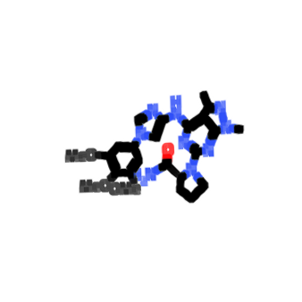 COc1cc(-n2cnc(Nc3nc(N4CCC[C@H]4C(N)=O)nc4c3c(C)nn4C)c2)cc(OC)c1OC